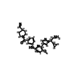 COc1cnc(Nc2cccc(C(=O)N3CCC(C#N)CC3)c2)nc1-c1cnn(C(CN)C2CC2)c1